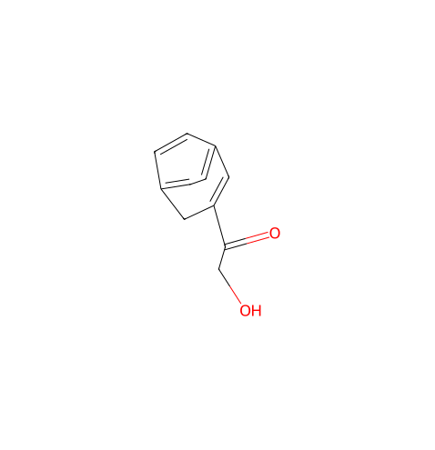 O=C(CO)C1=Cc2ccc(cc2)C1